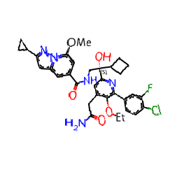 CCOc1c(CC(N)=O)cc([C@@](O)(CNC(=O)c2cc(OC)n3nc(C4CC4)cc3c2)C2CCC2)nc1-c1ccc(Cl)c(F)c1